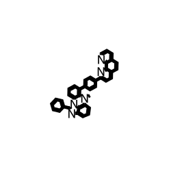 CN1c2c(-c3ccc(-c4ccc5ccc6cccnc6c5n4)cc3)cccc2-n2c(-c3ccccc3)nc3cccc1c32